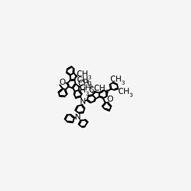 Cc1cc(C)cc(-c2cc3c(c4c2oc2ccccc24)-c2ccc(N(c4ccc(N(c5ccccc5)c5ccccc5)cc4)c4ccc5c(c4)C(C)(C)c4c-5c5c(c6c4C(C)(C)c4ccccc4-6)OCc4ccccc4-5)cc2C3(C)C)c1